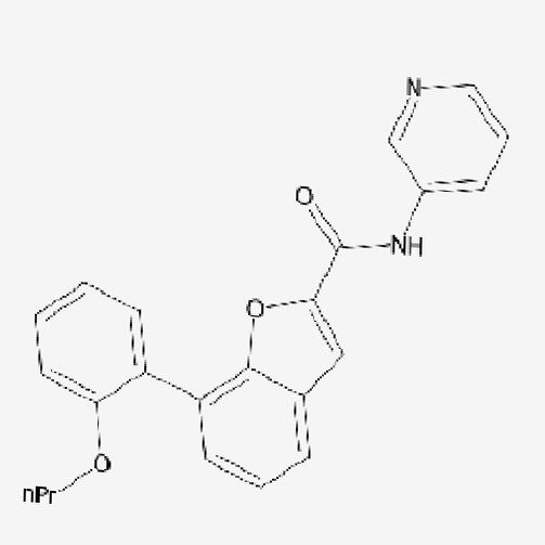 CCCOc1ccccc1-c1cccc2cc(C(=O)Nc3cccnc3)oc12